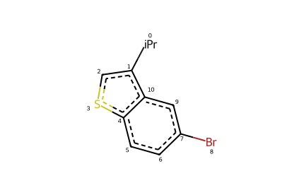 CC(C)c1csc2ccc(Br)cc12